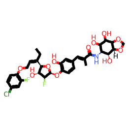 CC/C(=C/COc1ccc(Cl)cc1F)[C@H]1O[C@@H](Oc2ccc(/C=C(\C)C(=O)N[C@@H]3C(O)C(O)C4OCO[C@H]4[C@@H]3O)cc2O)[C@@H](F)[C@@H]1O